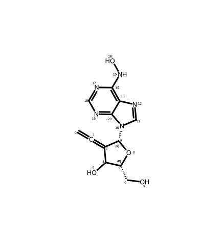 C=C=C1C(O)[C@@H](CO)O[C@H]1n1cnc2c(NO)ncnc21